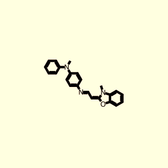 CN1C(=CC=Nc2ccc(N(C)c3ccccc3)cc2)Oc2ccccc21